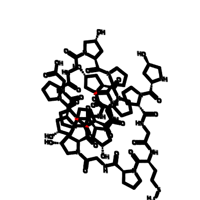 CSCC[C@H](NC(=O)CNC(=O)[C@@H]1CCCN1C(=O)[C@@H]1C[C@@H](O)CN1)C(=O)N1CCC[C@H]1C(=O)NCC(=O)N1C[C@H](O)C[C@H]1C(=O)N1CCC[C@H]1C(=O)NCC(=O)N1C[C@H](O)C[C@H]1C(=O)N1CCC[C@H]1C(=O)NCC(=O)N1C[C@H](O)C[C@H]1C(=O)N1CCC[C@H]1C(=O)NCC(=O)N1C[C@H](O)C[C@H]1C(=O)N1CCC[C@H]1C(=O)NCC(=O)N1C[C@H](O)C[C@H]1C(=O)N1CCC[C@H]1C(=O)NCC(=O)O